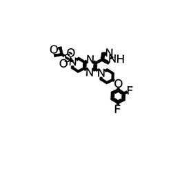 O=S(=O)(C1COC1)N1CCc2nc(N3CCC(Oc4ccc(F)cc4F)CC3)c(-c3cn[nH]c3)nc2C1